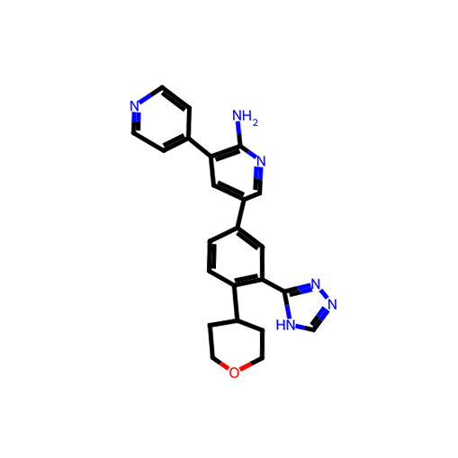 Nc1ncc(-c2ccc(C3CCOCC3)c(-c3nnc[nH]3)c2)cc1-c1ccncc1